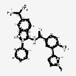 Cn1ccc(-c2cc(C(=O)Nc3c4ccc(C(N)C(F)(F)F)cc4nn3-c3ccccc3)ccc2C(F)(F)F)n1